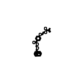 C=C(C)C(=O)OCCOC1CCC(C(=O)OCOCC23CC4CC(CC(C4)C2)C3)CC1